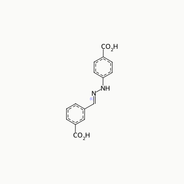 O=C(O)c1ccc(N/N=C/c2cccc(C(=O)O)c2)cc1